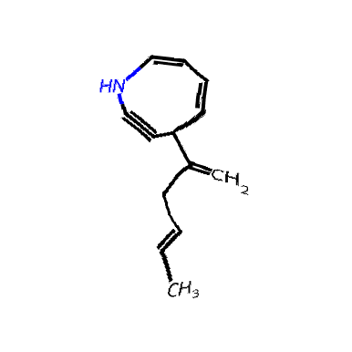 C=C(CC=CC)C1C#CN/C=C\C=C/1